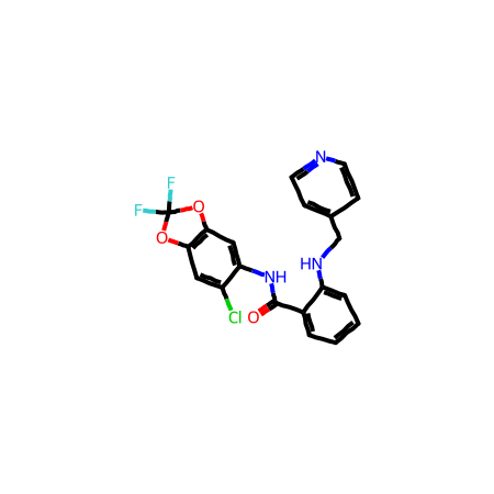 O=C(Nc1cc2c(cc1Cl)OC(F)(F)O2)c1ccccc1NCc1ccncc1